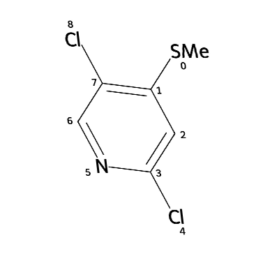 CSc1cc(Cl)ncc1Cl